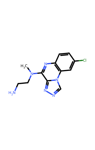 CN(CCN)c1nc2ccc(Cl)cc2n2cnnc12